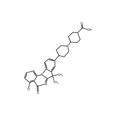 CC1(C)c2cc(C3CCN(C4CCC(C(=O)O)CC4)CC3)ccc2-n2c1nc(=O)c1c(Cl)cccc12